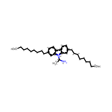 CCCCCCCCCCCCCCCCCCc1ccc2c3ccc(CCCCCCCCCCCCCCCCCC)cc3n(C(C)N)c2c1